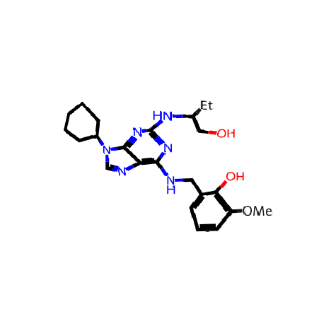 CCC(CO)Nc1nc(NCc2cccc(OC)c2O)c2ncn(C3CCCCC3)c2n1